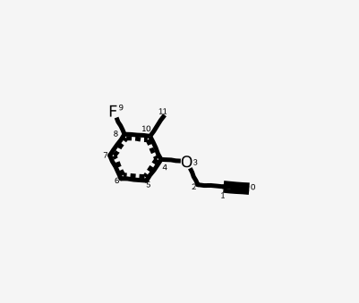 C#CCOc1cccc(F)c1C